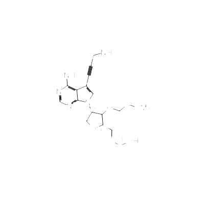 CSSCOC1[C@H](n2cc(C#CCN)c3c(N)ncnc32)CO[C@@H]1CO[PH](=O)O